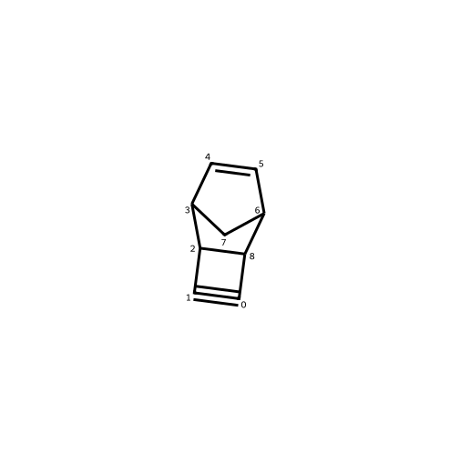 C1#CC2C3C=CC(C3)C12